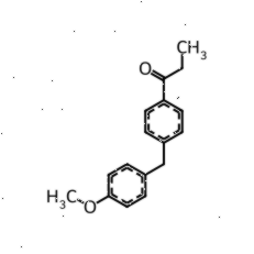 CCC(=O)c1ccc(Cc2ccc(OC)cc2)cc1